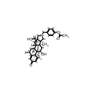 CC(=O)Oc1ccc(CN2C[C@@H]3C[C@H]4[C@@H]5C[C@H](F)C6=CC(=O)C=C[C@]6(C)[C@@]5(F)[C@@H](O)C[C@]4(C)[C@]3(C(=O)CO)C2)cc1